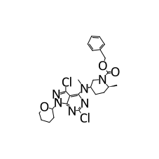 C[C@H]1CC[C@@H](N(C)c2nc(Cl)nc3c2c(Cl)nn3C2CCCCO2)CN1C(=O)OCc1ccccc1